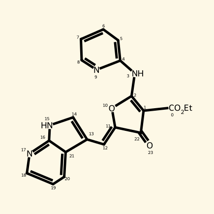 CCOC(=O)C1=C(Nc2ccccn2)O/C(=C\c2c[nH]c3ncccc23)C1=O